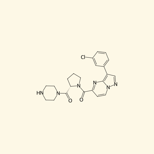 O=C([C@@H]1CCCN1C(=O)c1ccn2ncc(-c3cccc(Cl)c3)c2n1)N1CCNCC1